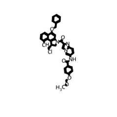 COCOc1ccc(C(=O)Nc2ccc3nc(C(=O)N4CC(CCl)c5c4cc(OCc4ccccc4)c4cccc(C)c54)cn3c2)cc1